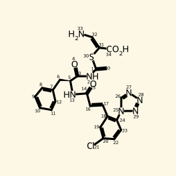 C=C(NC(=O)[C@H](Cc1ccccc1)NC(=O)/C=C/c1cc(Cl)ccc1-n1cnnn1)S/C(=C\N)C(=O)O